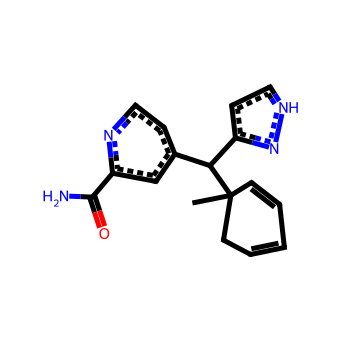 CC1(C(c2ccnc(C(N)=O)c2)c2cc[nH]n2)C=CC=CC1